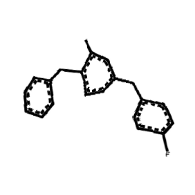 Cc1cc(Cc2ccc(F)cc2)ccc1Cc1ccccc1